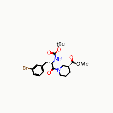 COC(=O)[C@@H]1CCCN(C(=O)[C@H](Cc2cccc(Br)c2)NC(=O)OC(C)(C)C)C1